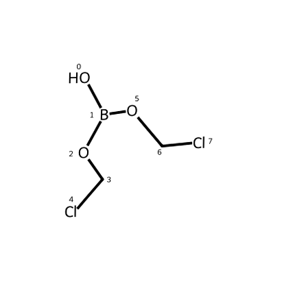 OB(OCCl)OCCl